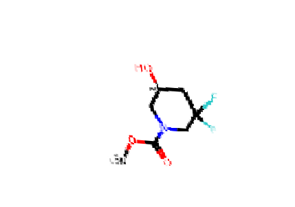 CC(C)(C)OC(=O)N1C[C@@H](O)CC(F)(F)C1